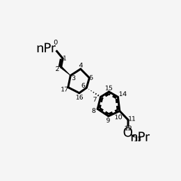 CCCC=C[C@H]1CC[C@H](c2ccc(COCCC)cc2)CC1